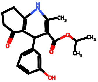 CC1=C(C(=O)OC(C)C)C(c2cccc(O)c2)C2=C(CCCC2=O)N1